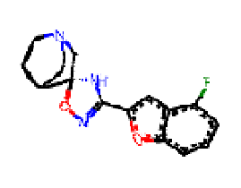 Fc1cccc2oc(C3=NO[C@@]4(CN5CCC4CC5)N3)cc12